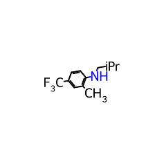 Cc1cc(C(F)(F)F)ccc1NCC(C)C